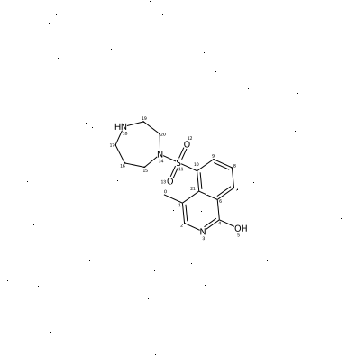 Cc1cnc(O)c2cccc(S(=O)(=O)N3CCCNCC3)c12